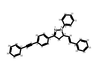 C(#Cc1ccc(C2=NN(c3ccccc3)C(C=Cc3ccccc3)C2)cc1)c1ccccc1